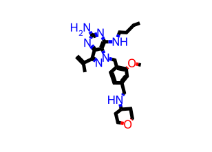 C=C(C)c1nn(Cc2ccc(CNC3CCOCC3)cc2OC)c2c(NCCCC)nc(N)nc12